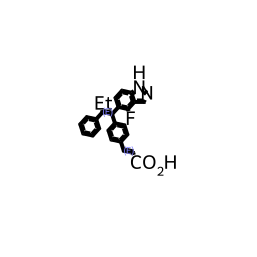 CC/C(=C(/c1ccc(/C=C/C(=O)O)cc1)c1ccc2[nH]ncc2c1F)c1ccccc1